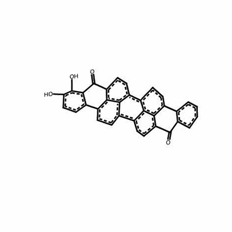 O=C1c2ccccc2-c2ccc3c4ccc5c6c(ccc(c7ccc1c2c37)c64)-c1ccc(O)c(O)c1C5=O